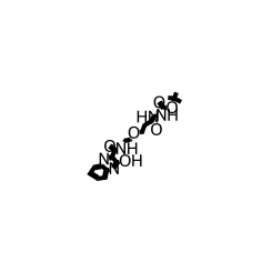 CC(C)(C)OC(=O)NNC(=O)CCOCCNC(=O)c1nc2ccccc2nc1O